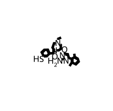 CCN1CCN(C(=O)c2cccc(S)c2)C[C@H](Oc2cc(-c3c(C)cccc3C)nc(N)n2)C1